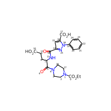 CCOC(=O)N1CCN(C(=O)C(CCC(=O)O)NC(=O)c2cc(C(=O)O)n(-c3ccccc3)n2)CC1